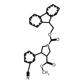 COC(=O)C1CN(C(=O)OCC2c3ccccc3-c3ccccc32)CC1c1cccc(C#N)c1